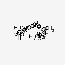 Cc1cc(N2CCC3(CCN(C(=O)c4ccc([C@H]5C[C@@H](Nc6cnn(C)c(=O)c6Br)CN(C)C5)cc4)CC3)CC2)ncc1C1CCC(=O)NC1=O